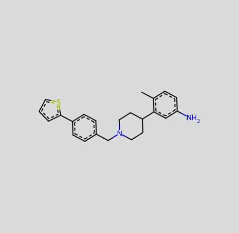 Cc1ccc(N)cc1C1CCN(Cc2ccc(-c3cccs3)cc2)CC1